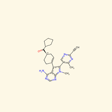 C#Cc1ncc(-c2c(C3=CC[C@H](C(=O)C4CCCC4)CC3)c3c(N)ncnc3n2C)c(C)n1